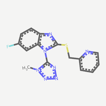 Cn1nnnc1-n1c(SCc2ccccn2)nc2ccc(F)cc21